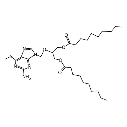 CCCCCCCCCC(=O)OCC(COC(=O)CCCCCCCCC)OCn1cnc2c(SC)nc(N)nc21